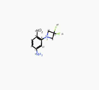 Nc1ccc([N+](=O)[O-])c(N2CC(F)(F)C2)c1